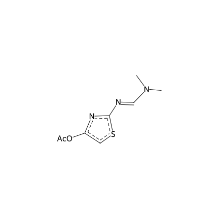 CC(=O)Oc1csc(/N=C/N(C)C)n1